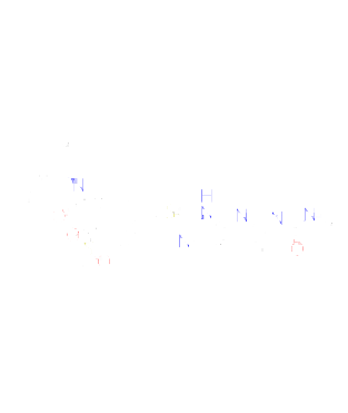 Cc1nc(Nc2cccc(N3CCN(C)C3=O)n2)sc1-c1cc2c(c(S(C)(=O)=O)c1)C(=O)N([C@@H](C)C1CC1)C2